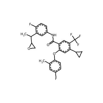 Cc1cc(F)ccc1Oc1cc(C2CC2)c(C(F)(F)F)cc1C(=O)Nc1ccc(F)c(C(C)C2CO2)c1